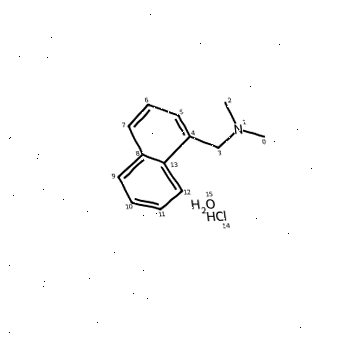 CN(C)Cc1cccc2ccccc12.Cl.O